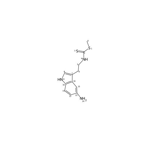 CSC(=S)NCCc1c[nH]c2ccc(N)cc12